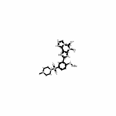 CCCCOc1ccc(S(=O)(=O)N2CCN(C)CC2)cc1-c1nc2c([nH]1)c1nncn1c(=O)n2CC